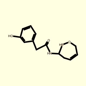 O=C(Cc1cccc(O)c1)NC1BOCC=CC1